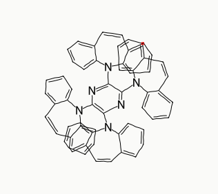 C1=Cc2ccccc2N(c2nc(N3c4ccccc4C=Cc4ccccc43)c(N3c4ccccc4C=Cc4ccccc43)nc2N2c3ccccc3C=Cc3ccccc32)c2ccccc21